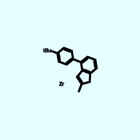 CC1=Cc2c(cccc2-c2ccc(C(C)(C)C)cc2)C1.[Zr]